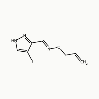 C=CCO/N=C/c1n[nH]cc1I